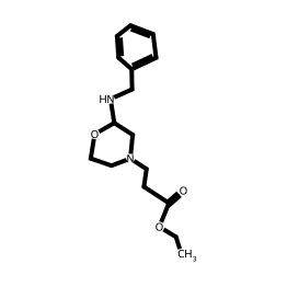 CCOC(=O)CCN1CCOC(NCc2ccccc2)C1